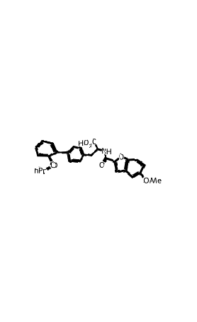 CCCOc1ccccc1-c1ccc(CC(NC(=O)c2cc3cc(OC)ccc3o2)C(=O)O)cc1